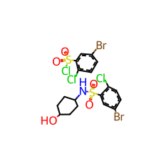 O=S(=O)(Cl)c1cc(Br)ccc1Cl.O=S(=O)(NC1CCC(O)CC1)c1cc(Br)ccc1Cl